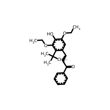 CCOc1cc(/C=C/C(=O)c2ccccc2)c(C(C)(C)C)c(OCC)c1O